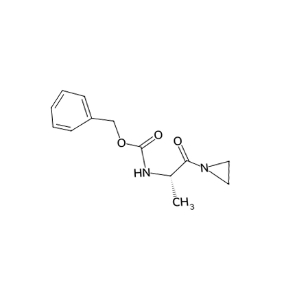 C[C@H](NC(=O)OCc1ccccc1)C(=O)N1CC1